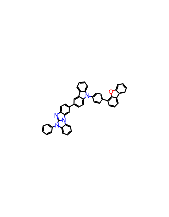 c1ccc(-n2c3ccccc3n3c4cc(-c5ccc6c(c5)c5ccccc5n6-c5ccc(-c6cccc7c6oc6ccccc67)cc5)ccc4nc23)cc1